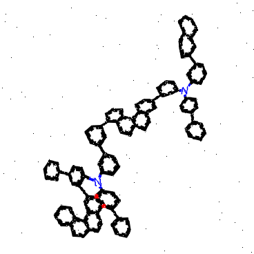 c1ccc(-c2ccc(N(c3cccc(-c4ccc5ccccc5c4)c3)c3cccc(-c4ccc5c(ccc6ccc7c(-c8cccc(-c9cccc(N(c%10ccc(-c%11ccccc%11)cc%10)c%10ccc(-c%11ccccc%11)cc%10-c%10ccc%11ccc%12ccc%13ccccc%13c%12c%11c%10)c9)c8)cccc7c65)c4)c3)cc2)cc1